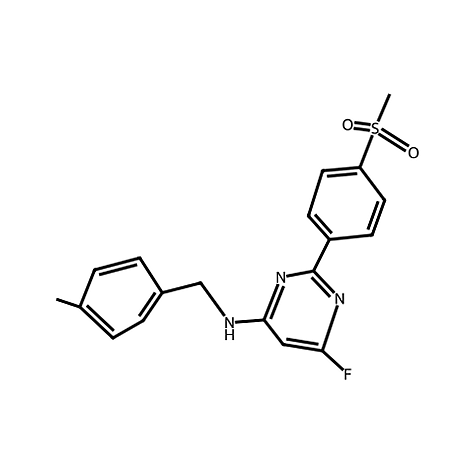 Cc1ccc(CNc2cc(F)nc(-c3ccc(S(C)(=O)=O)cc3)n2)cc1